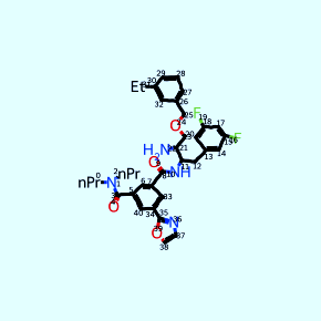 CCCN(CCC)C(=O)c1cc(C(=O)NC(Cc2cc(F)cc(F)c2)C(N)COCc2cccc(CC)c2)cc(-c2ncco2)c1